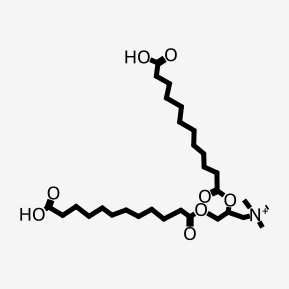 C[N+](C)(C)CC(COC(=O)CCCCCCCCCCC(=O)O)OC(=O)CCCCCCCCCCC(=O)O